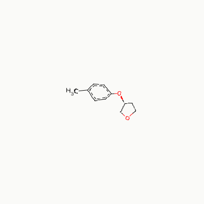 Cc1ccc(O[C@H]2CCOC2)cc1